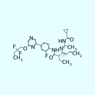 C=C/C=C(\N=C(/C)NC(=O)C1CC1)C(CC)C(=O)Nc1ccc(-c2cncc(OCC(F)(F)CC)n2)cc1F